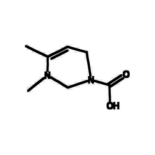 CC1=CCN(C(=O)O)CN1C